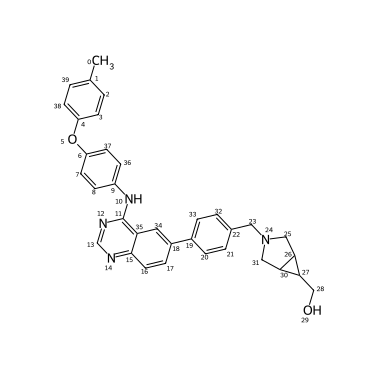 Cc1ccc(Oc2ccc(Nc3ncnc4ccc(-c5ccc(CN6CC7C(CO)C7C6)cc5)cc34)cc2)cc1